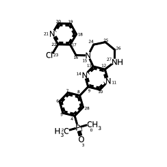 CP(C)(=O)c1cccc(-c2cnc3c(n2)N(Cc2cccnc2Cl)CCCN3)c1